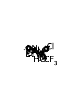 CCc1c(Cn2nc(-c3ccc(Cl)cc3)n(C[C@H](O)C(F)(F)F)c2=O)nnn1-c1ccc[c]c1C(F)(F)F